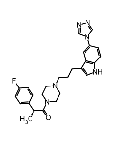 C[C@H](C(=O)N1CCN(CCCc2c[nH]c3ccc(-n4cnnc4)cc23)CC1)c1ccc(F)cc1